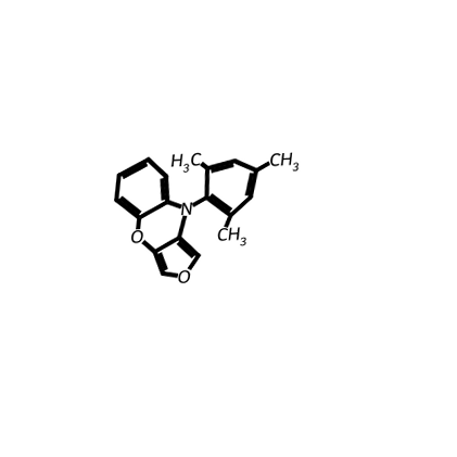 Cc1cc(C)c(N2c3ccccc3Oc3cocc32)c(C)c1